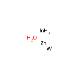 O.[InH3].[W].[Zn]